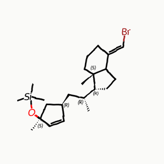 C[C@H](C[C@H]1C=C[C@@](C)(O[Si](C)(C)C)C1)[C@H]1CCC2C(=CBr)CCC[C@]21C